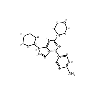 Nc1ncc(-c2nc(N3CCOCC3)nc3c2cnn3C2CCOCC2)cn1